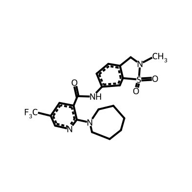 CN1Cc2ccc(NC(=O)c3cc(C(F)(F)F)cnc3N3CCCCCC3)cc2S1(=O)=O